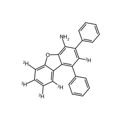 [2H]c1c([2H])c([2H])c2c(oc3c(N)c(-c4ccccc4)c([2H])c(-c4ccccc4)c32)c1[2H]